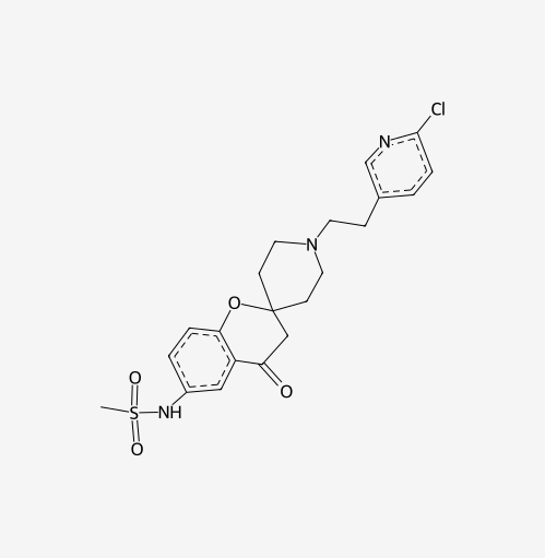 CS(=O)(=O)Nc1ccc2c(c1)C(=O)CC1(CCN(CCc3ccc(Cl)nc3)CC1)O2